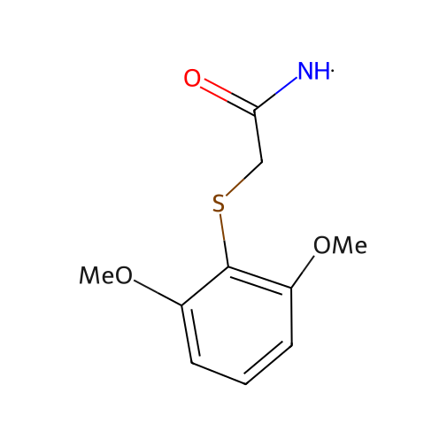 COc1cccc(OC)c1SCC([NH])=O